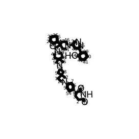 O=C1CC[C@H](c2ccc(N3CCC4(CC(N5CC6(CCN(C(=O)C7(c8ccccc8)CCN(c8cnnc(-c9ccccc9O)c8)CC7)CC6)C5)C4)C3)cc2)C(=O)N1